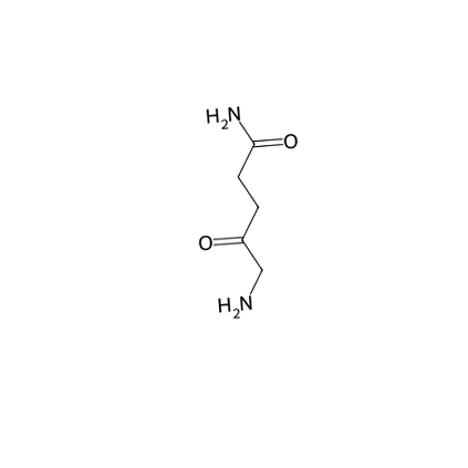 NCC(=O)CCC(N)=O